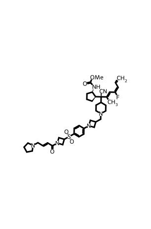 C=C/C=C(F)\C=C(/C)[C@](C#N)(C1CCN(CC2CN(c3ccc(S(=O)(=O)C4CN(C(=O)/C=C/CN5CCCC5)C4)cc3)C2)CC1)[C@H]1CCC[C@@H]1NC(=O)OC